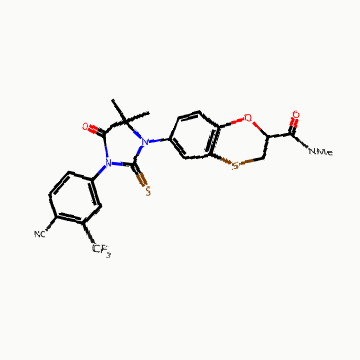 CNC(=O)C1CSc2cc(N3C(=S)N(c4ccc(C#N)c(C(F)(F)F)c4)C(=O)C3(C)C)ccc2O1